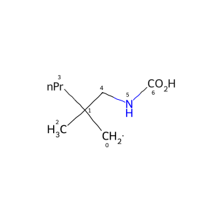 [CH2]C(C)(CCC)CNC(=O)O